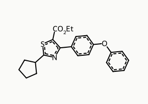 CCOC(=O)c1sc(C2CCCC2)nc1-c1ccc(Oc2ccccc2)cc1